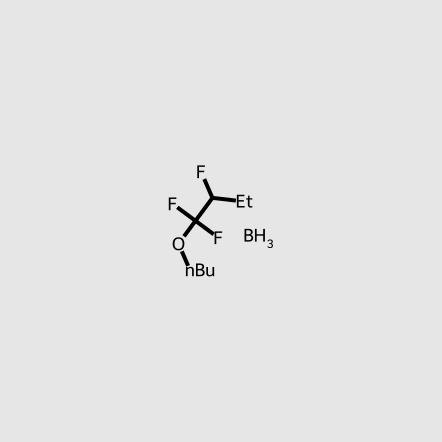 B.CCCCOC(F)(F)C(F)CC